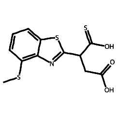 CSc1cccc2sc(C(CC(=O)O)C(O)=S)nc12